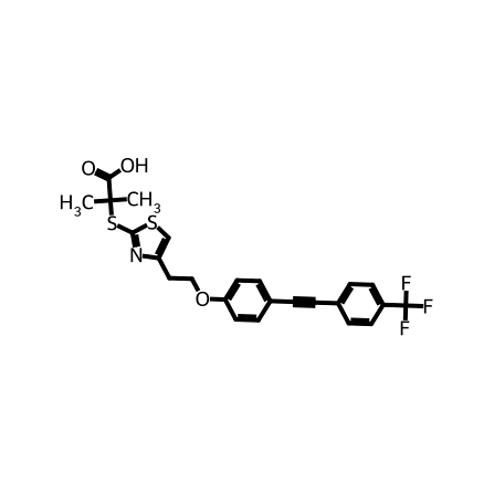 CC(C)(Sc1nc(CCOc2ccc(C#Cc3ccc(C(F)(F)F)cc3)cc2)cs1)C(=O)O